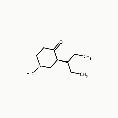 CCC(CC)[C@H]1CN(C)CCC1=O